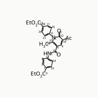 CCOC(=O)c1ccc(NC(=O)c2cc(C(C)=O)c(=O)n(-c3ccc(C(=O)OCC)cc3)c2C)cc1